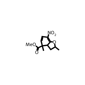 COC(=O)C1(C)C=CC([N+](=O)[O-])=C2OC(C)CC21